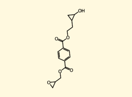 O=C(OCCC1CC1O)c1ccc(C(=O)OCC2CO2)cc1